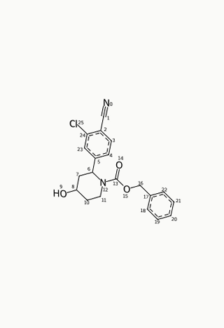 N#Cc1ccc(C2CC(O)CCN2C(=O)OCc2ccccc2)cc1Cl